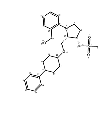 CS(=O)(=O)N[C@H]1CCN(c2ccncc2CO)[C@H]1COC1CCC(c2ccccc2)CC1